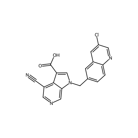 N#Cc1cncc2c1c(C(=O)O)cn2Cc1ccc2ncc(Cl)cc2c1